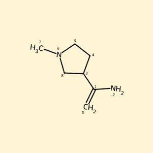 C=C(N)C1CCN(C)C1